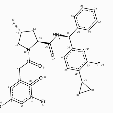 CCn1cc(C)cc(CC(=O)N2C[C@H](F)C[C@H]2C(=O)N[C@@H](c2ccccc2)c2ccc(C3CC3)c(F)n2)c1=O